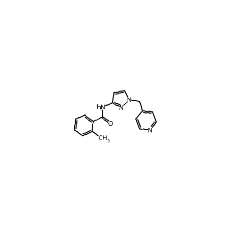 Cc1ccccc1C(=O)Nc1ccn(Cc2ccncc2)n1